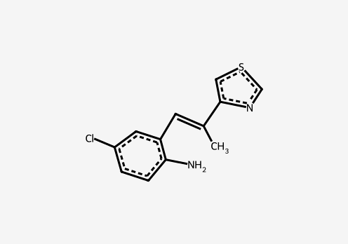 C/C(=C\c1cc(Cl)ccc1N)c1cscn1